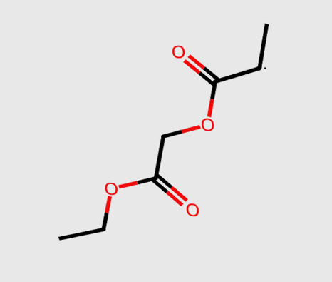 C[CH]C(=O)OCC(=O)OCC